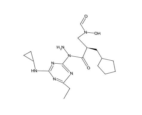 CCc1nc(NC2CC2)nc(N(N)C(=O)[C@H](CC2CCCC2)CN(O)C=O)n1